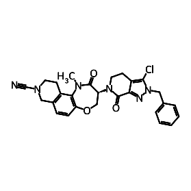 CN1C(=O)[C@@H](N2CCc3c(nn(Cc4ccccc4)c3Cl)C2=O)COc2ccc3c(c21)CCN(C#N)C3